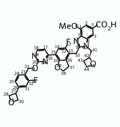 COc1cc(C(=O)O)cc2c1nc(Cc1c(F)cc(-c3ccnc(OCc4ccc(C5COC5)cc4F)n3)c3c1CCO3)n2C[C@@H]1CCO1